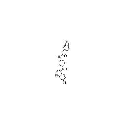 O=C(Cc1cccc(C(F)(F)F)c1)NC1CCC(Nc2ccnc3cc(Cl)ccc23)CC1